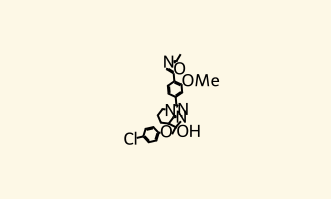 COc1cc(-c2nnc3n2CCCC3(Oc2ccc(Cl)cc2)C(C)(C)O)ccc1-c1cnc(C)o1